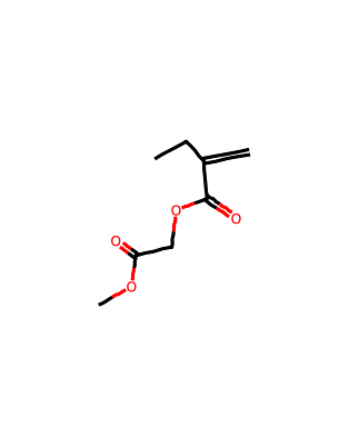 C=C(CC)C(=O)OCC(=O)OC